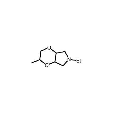 CCN1CC2OCC(C)OC2C1